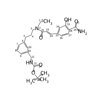 CCN(CCCc1cccc(CNC(=O)OC(C)(C)C)c1)C(=O)/C=C/c1ccc(C(N)=O)c(O)c1